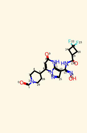 O=CN1CCC(c2cc(=O)[nH]c3c(/C(=N\O)NC(=O)C4CC(F)(F)C4)cnn23)CC1